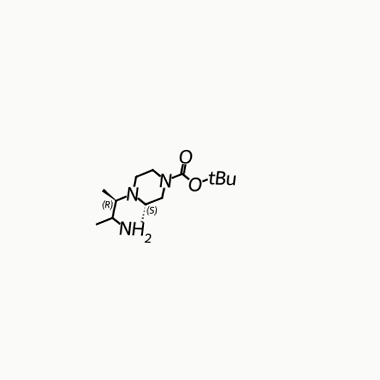 CC(N)[C@@H](C)N1CCN(C(=O)OC(C)(C)C)C[C@@H]1C